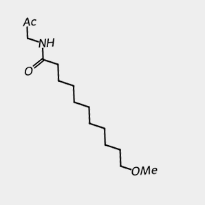 COCCCCCCCCCCC(=O)NCC(C)=O